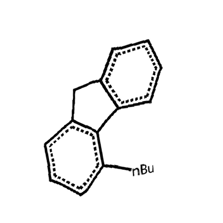 CCCCc1cccc2c1-c1ccccc1C2